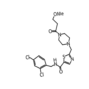 COCCC(=O)N1CCN(Cc2ncc(C(=O)NCc3ccc(Cl)cc3Cl)s2)CC1